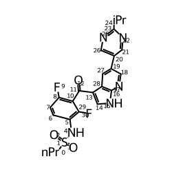 CCCS(=O)(=O)Nc1ccc(F)c(C(=O)c2c[nH]c3ncc(-c4cnc(C(C)C)nc4)cc23)c1F